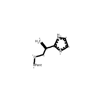 C=C(COCCCCC)c1ncc[nH]1